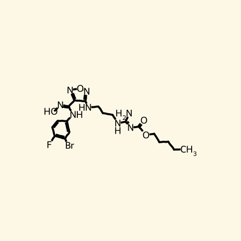 CCCCCOC(=O)/N=C(\N)NCCCNc1nonc1/C(=N/O)Nc1ccc(F)c(Br)c1